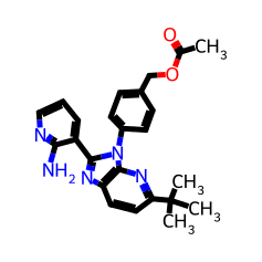 CC(=O)OCc1ccc(-n2c(-c3cccnc3N)nc3ccc(C(C)(C)C)nc32)cc1